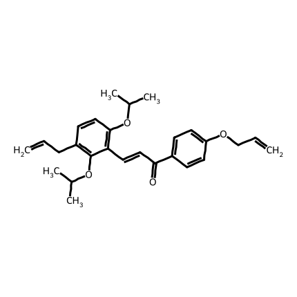 C=CCOc1ccc(C(=O)/C=C/c2c(OC(C)C)ccc(CC=C)c2OC(C)C)cc1